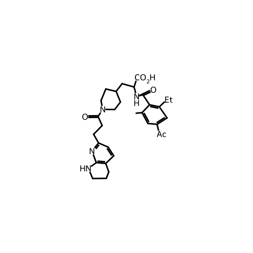 CCc1cc(C(C)=O)cc(C)c1C(=O)NC(CC1CCN(C(=O)CCc2ccc3c(n2)NCCC3)CC1)C(=O)O